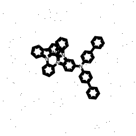 c1ccc(-c2ccc(N(c3ccc(-c4ccccc4)cc3)c3ccc4c(c3)n3c5ccccc5nc3n4-c3ccccc3-n3c4ccccc4c4ccccc43)cc2)cc1